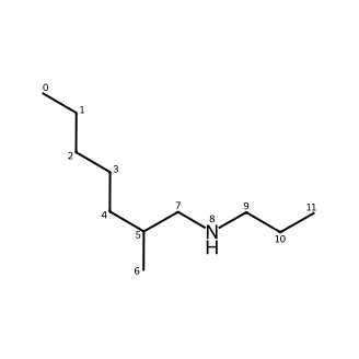 CCCCCC(C)CNCCC